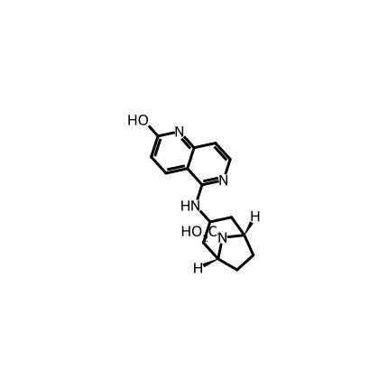 O=C(O)N1[C@@H]2CC[C@H]1CC(Nc1nccc3nc(O)ccc13)C2